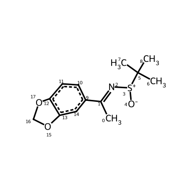 CC(=N[S+]([O-])C(C)(C)C)c1ccc2c(c1)OCO2